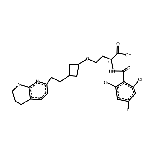 O=C(N[C@@H](CCOC1CC(CCc2ccc3c(n2)NCCC3)C1)C(=O)O)c1c(Cl)cc(F)cc1Cl